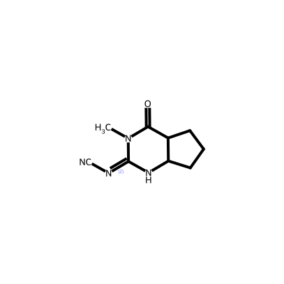 CN1C(=O)C2CCCC2N/C1=N/C#N